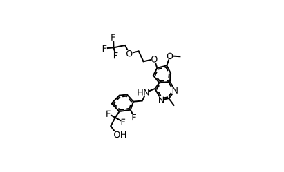 COc1cc2nc(C)nc(NCc3cccc(C(F)(F)CO)c3F)c2cc1OCCOCC(F)(F)F